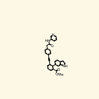 COC(=O)c1cccc(C#Cc2ccc(CC(=O)Nc3cccnc3)cc2)c1-c1ccc2cc[nH]c2c1